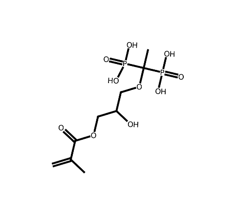 C=C(C)C(=O)OCC(O)COC(C)(P(=O)(O)O)P(=O)(O)O